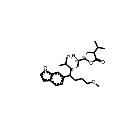 COCCCC(c1ccc2cc[nH]c2c1)[C@@H](C[C@H](N)[C@@H]1CC(C(C)C)C(=O)O1)C(C)C